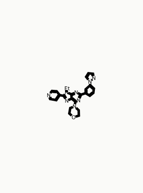 CCn1c(-c2ccncc2)nc2c(N3CCOCC3)nc(-c3cccc(-n4cccn4)c3)nc21